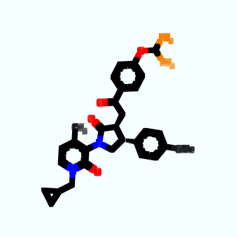 COc1ccc([C@@H]2CN(c3c(C)ccn(CC4CC4)c3=O)C(=O)[C@H]2CC(=O)c2ccc(OC(P)P)cc2)cc1